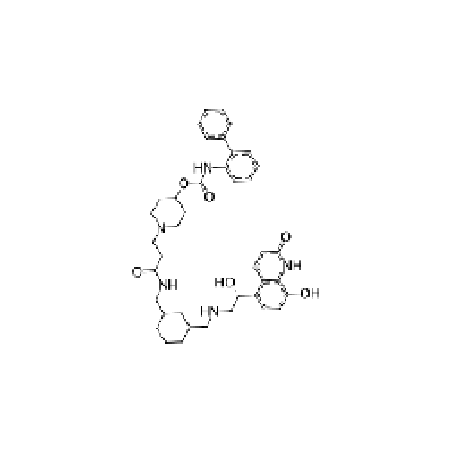 O=C(CCN1CCC(OC(=O)Nc2ccccc2-c2ccccc2)CC1)NCC1CCCC(CNC[C@H](O)c2ccc(O)c3[nH]c(=O)ccc23)C1